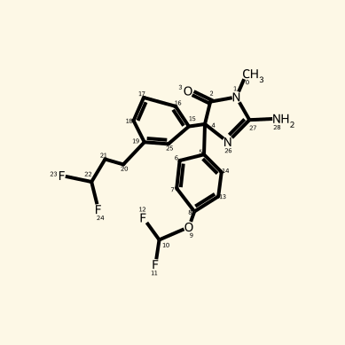 CN1C(=O)C(c2ccc(OC(F)F)cc2)(c2cccc(CCC(F)F)c2)N=C1N